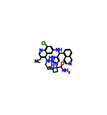 CC(C)(C)CNc1c(C#N)cnc2c(Cl)cc(N[C@H](C3=CN(C4(C(N)=O)CCC4)NN3)c3cccc4cnccc34)cc12